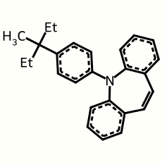 CCC(C)(CC)c1ccc(N2c3ccccc3C=Cc3ccccc32)cc1